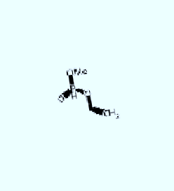 C=CO[PH](=O)OC